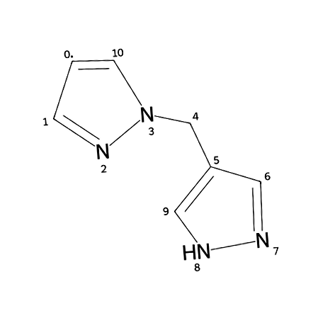 [c]1cnn(Cc2cn[nH]c2)c1